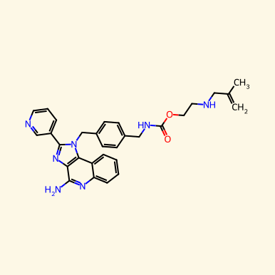 C=C(C)CNCCOC(=O)NCc1ccc(Cn2c(-c3cccnc3)nc3c(N)nc4ccccc4c32)cc1